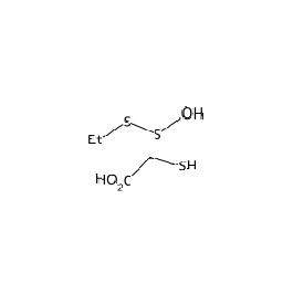 CCSSO.O=C(O)CS